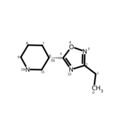 CCc1noc([C@H]2CCC[N]C2)n1